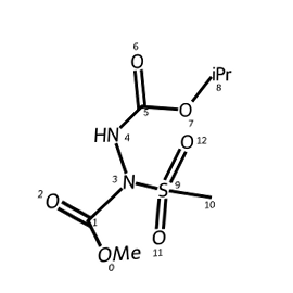 COC(=O)N(NC(=O)OC(C)C)S(C)(=O)=O